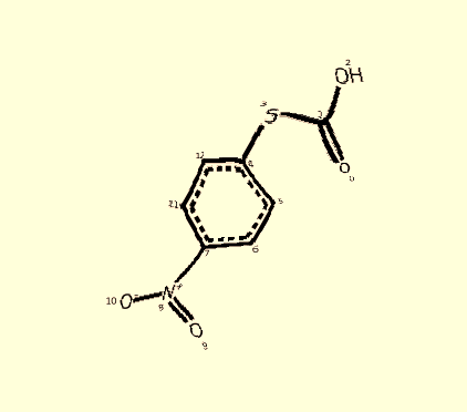 O=C(O)Sc1ccc([N+](=O)[O-])cc1